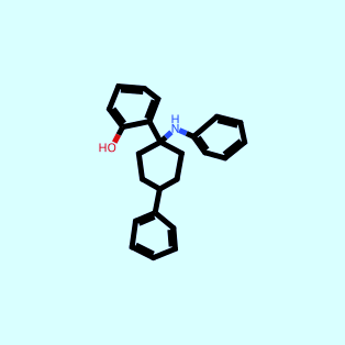 Oc1ccccc1C1(Nc2ccccc2)CCC(c2ccccc2)CC1